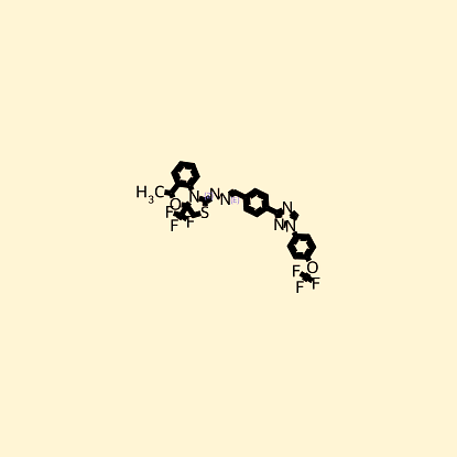 CC1OC2(C(F)(F)F)CS/C(=N\N=C\c3ccc(-c4ncn(-c5ccc(OC(F)(F)F)cc5)n4)cc3)N2c2ccccc21